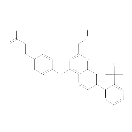 COCc1nc(Nc2ccc(CCC(C)=O)cc2)c2ncc(-c3ncccc3C(F)(F)F)cc2n1